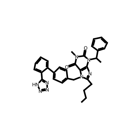 CCCCc1nc2c(c(=O)n(C)c(=O)n2C(C)c2ccccc2)n1Cc1ccc(-c2ccccc2-c2nnn[nH]2)cc1